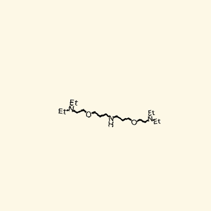 CCN(CC)CCOCCCNCCCOCCN(CC)CC